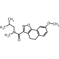 COc1ccc2c(c1)-c1onc(C(=O)N(C)CC(C)C)c1CC2